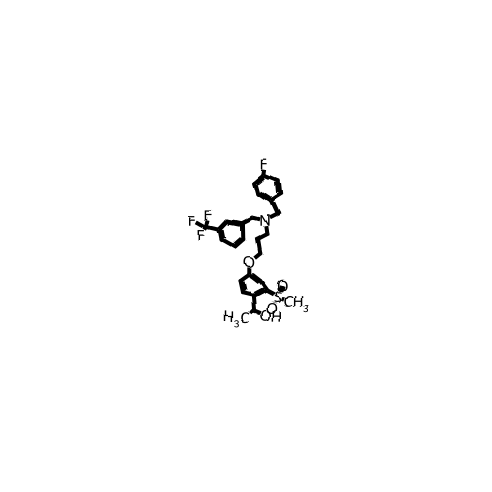 CC(O)c1ccc(OCCCN(Cc2ccc(F)cc2)Cc2cccc(C(F)(F)F)c2)cc1S(C)(=O)=O